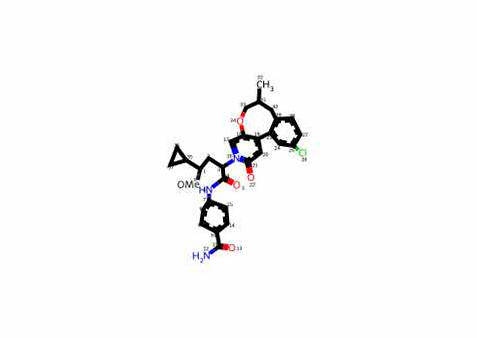 COC(CC(C(=O)Nc1ccc(C(N)=O)cc1)n1cc2c(cc1=O)-c1cc(Cl)ccc1CC(C)CO2)C1CC1